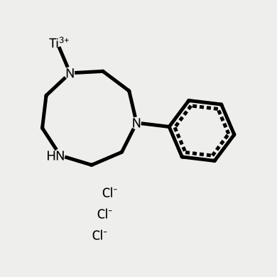 [Cl-].[Cl-].[Cl-].[Ti+3][N]1CCNCCN(c2ccccc2)CC1